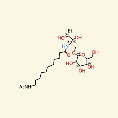 CC[C@@H](O)[C@@H](O)[C@H](CO[C@H]1OC(CO)[C@H](O)[C@H](O)C1O)NC(=O)CCCCCCCCCCNC(C)=O